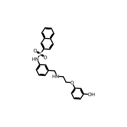 O=S(=O)(Nc1cccc(CNCCOc2cccc(O)c2)c1)c1ccc2ccccc2c1